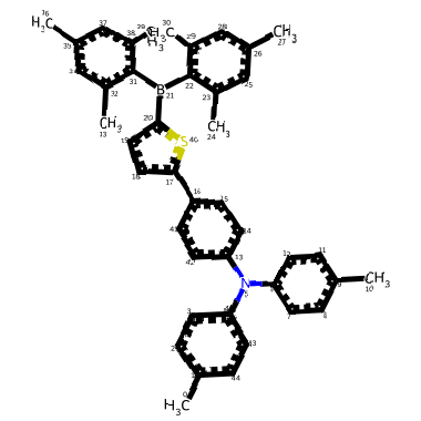 Cc1ccc(N(c2ccc(C)cc2)c2ccc(-c3ccc(B(c4c(C)cc(C)cc4C)c4c(C)cc(C)cc4C)s3)cc2)cc1